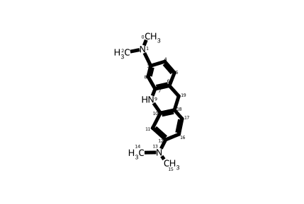 CN(C)c1ccc2c(c1)Nc1cc(N(C)C)ccc1C2